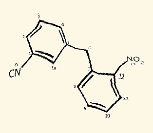 [C-]#[N+]c1cccc(Cc2ccccc2[N+](=O)[O-])c1